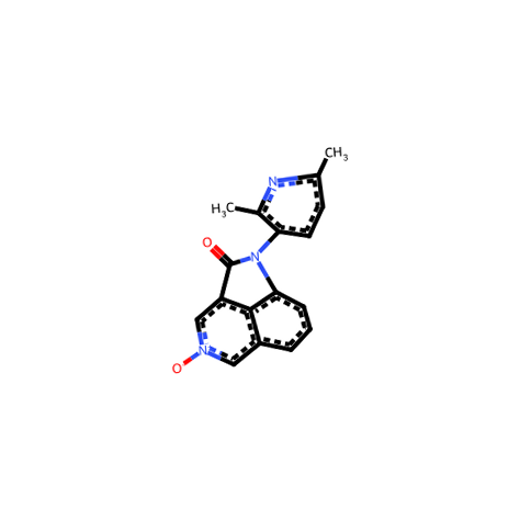 Cc1ccc(N2C(=O)c3c[n+]([O-])cc4cccc2c34)c(C)n1